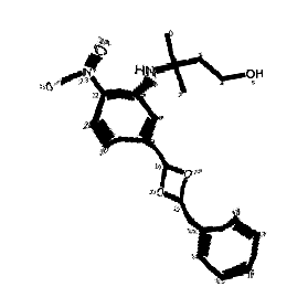 CC(C)(CCO)Nc1cc(C2OC(c3ccccc3)O2)ccc1[N+](=O)[O-]